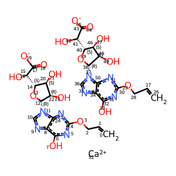 C=CCOc1nc(O)c2ncn([C@@H]3O[C@H](C(O)C(=O)[O-])[C@@H](O)[C@H]3O)c2n1.C=CCOc1nc(O)c2ncn([C@@H]3O[C@H](C(O)C(=O)[O-])[C@@H](O)[C@H]3O)c2n1.[Ca+2]